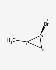 C[C]1C[C@@H]1Br